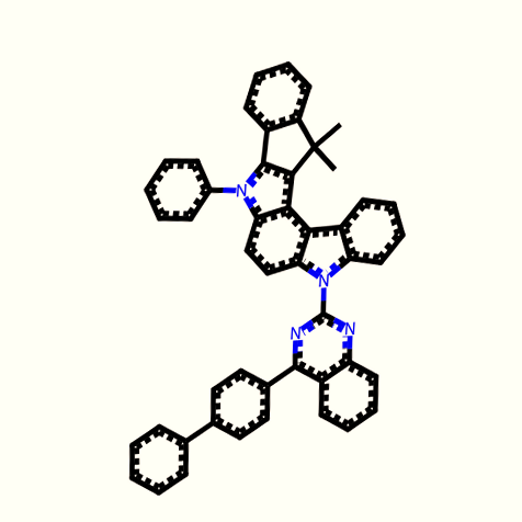 CC1(C)c2ccccc2-c2c1c1c3c4ccccc4n(-c4nc(-c5ccc(-c6ccccc6)cc5)c5ccccc5n4)c3ccc1n2-c1ccccc1